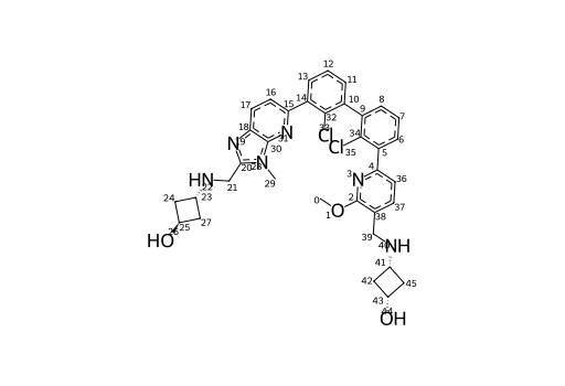 COc1nc(-c2cccc(-c3cccc(-c4ccc5nc(CN[C@H]6C[C@H](O)C6)n(C)c5n4)c3Cl)c2Cl)ccc1CN[C@H]1C[C@@H](O)C1